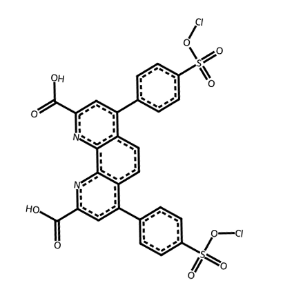 O=C(O)c1cc(-c2ccc(S(=O)(=O)OCl)cc2)c2ccc3c(-c4ccc(S(=O)(=O)OCl)cc4)cc(C(=O)O)nc3c2n1